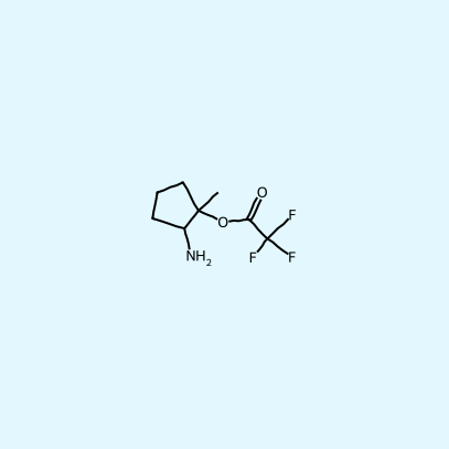 CC1(OC(=O)C(F)(F)F)CCCC1N